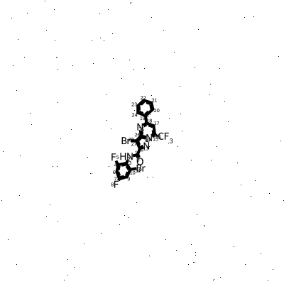 O=C(Nc1c(F)cc(F)cc1Br)c1nn2c(C(F)(F)F)cc(-c3ccccc3)nc2c1Br